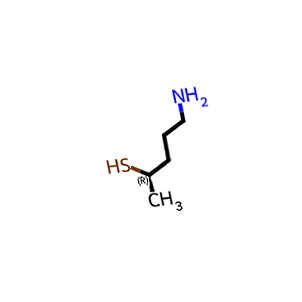 C[C@@H](S)CCCN